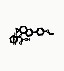 CCOc1ccc(-c2ccc3c(c2)CCC2(CC2)C3N(C(=O)O)[C@@H]2CN3CCC2CC3)cc1